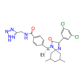 CC[C@H](c1ccc(C(=O)NCc2nn[nH]n2)cc1)N1C(=O)C(c2cc(Cl)cc(Cl)c2)=NC12CC(C)CC(C)C2